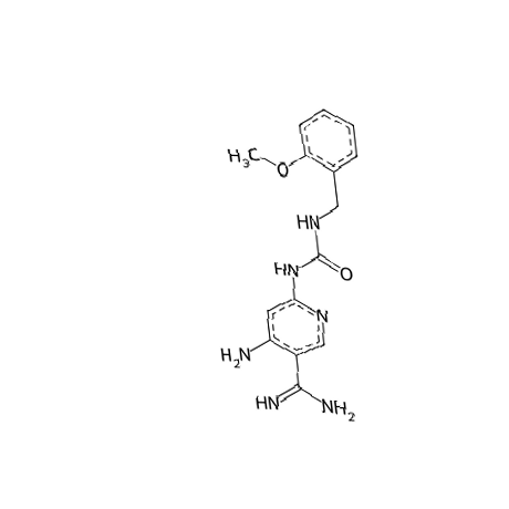 COc1ccccc1CNC(=O)Nc1cc(N)c(C(=N)N)cn1